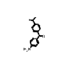 CC(C)c1ccc(C(=O)c2ccc(N)cc2)cc1